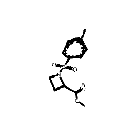 COC(=O)C1CCN1S(=O)(=O)c1ccc(C)cc1